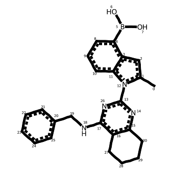 Cc1cc2c(B(O)O)cccc2n1-c1nc2c(c(NCc3ccccc3)n1)CCCC2